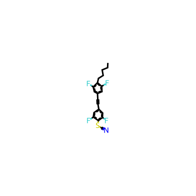 CCCCCc1c(F)cc(C#Cc2cc(F)c(SC#N)c(F)c2)cc1F